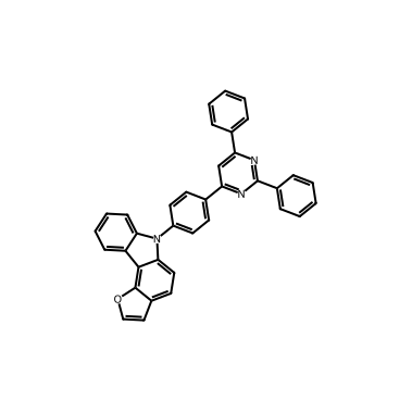 c1ccc(-c2cc(-c3ccc(-n4c5ccccc5c5c6occc6ccc54)cc3)nc(-c3ccccc3)n2)cc1